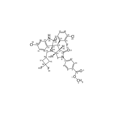 COC(=O)c1ccc(N2C[C@H]3[C@@H](C2=O)[C@H](c2cccc(Cl)c2F)[C@]2(C(=O)Nc4cc(Cl)ccc42)N3CC2CC(F)(F)C2)cc1